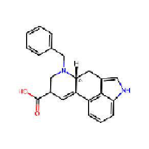 O=C(O)C1C=C2c3cccc4[nH]cc(c34)C[C@H]2N(Cc2ccccc2)C1